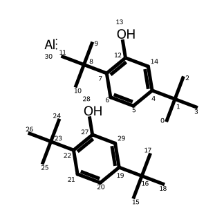 CC(C)(C)c1ccc(C(C)(C)C)c(O)c1.CC(C)(C)c1ccc(C(C)(C)C)c(O)c1.[Al]